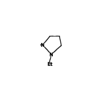 CCN1CCC[N]1